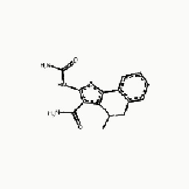 CC1Cc2ccccc2-c2sc(NC(N)=O)c(C(N)=O)c21